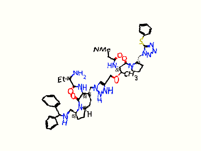 CC[C@H](N)C(=O)N[C@@H]1C(=O)N2[C@@H](CC[C@@H]1CN1C=C(COC(C)[C@H](NC(=O)CNC)C(=O)N3CCC[C@H]3Cn3nnnc3Sc3ccccc3)NN1)CC[C@H]2CNC(c1ccccc1)c1ccccc1